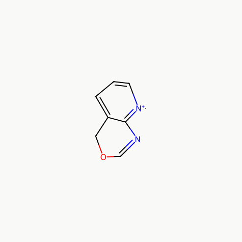 C1=C[N+]=C2N=COCC2=C1